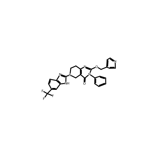 O=c1c2c(nc(OCc3ccncc3)n1-c1ccccc1)CCN(c1nc3ccc(C(F)(F)F)cc3[nH]1)C2